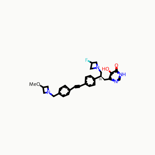 COC1CN(Cc2ccc(C#Cc3ccc([C@H](Cc4nc[nH]c(=O)c4O)CN4CC(F)C4)cc3)cc2)C1